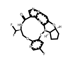 O=C1N[C@H](C(F)F)COc2ncc(F)cc2CN2c3nc4c1cnn4cc3O[C@H]1CCC[C@H]12